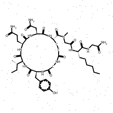 CCCCCC[C@H](NC(=O)CN(C)C(=O)[C@@H]1CCC(=O)NCC(=O)N[C@@H](Cc2ccc(O)cc2)C(=O)N[C@@H]([C@@H](C)CC)C(=O)N[C@@H](CCC(N)=O)C(=O)N[C@@H](CC(N)=O)C(=O)N1)C(=O)NCC(N)=O